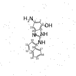 Nc1cc(O)c2[nH]c(Nc3cccc4ccccc34)nc2c1